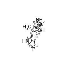 CC1c2cc(C3CNc4cc(F)ccc43)ccc2S(O)(O)N1CC(N)=O